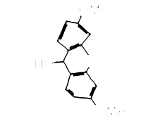 COc1ccc2c(c1)Oc1cc(OC)ccc1C2O